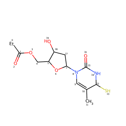 CCC(=O)OCC1OC(N2C=C(C)C(S)NC2=O)CC1O